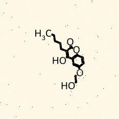 CCCCCc1c(O)c2cc(OCCO)ccc2oc1=O